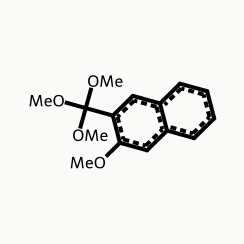 COc1cc2ccccc2cc1C(OC)(OC)OC